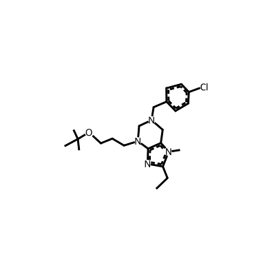 CCc1nc2c(n1C)CN(Cc1ccc(Cl)cc1)CN2CCCOC(C)(C)C